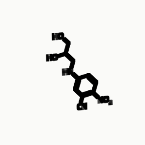 N#Cc1cc(NCC(O)CO)ccc1[N+](=O)[O-]